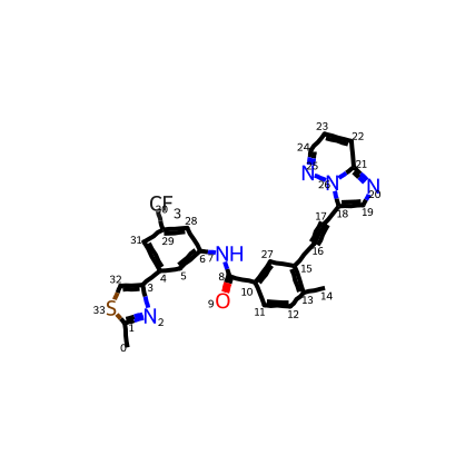 Cc1nc(-c2cc(NC(=O)c3ccc(C)c(C#Cc4cnc5cccnn45)c3)cc(C(F)(F)F)c2)cs1